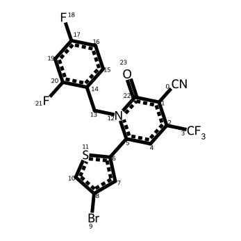 N#Cc1c(C(F)(F)F)cc(-c2cc(Br)cs2)n(Cc2ccc(F)cc2F)c1=O